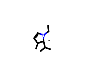 CCN1C=CC(C)[C@]1(C)C(C)C